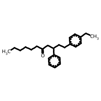 CCCCCCC(=O)CC(CCc1ccc(CC)cc1)c1ccccc1